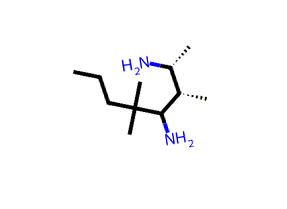 CCCC(C)(C)C(N)[C@@H](C)[C@@H](C)N